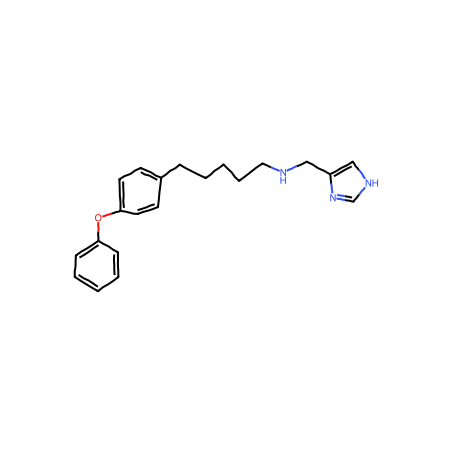 c1ccc(Oc2ccc(CCCCCNCc3c[nH]cn3)cc2)cc1